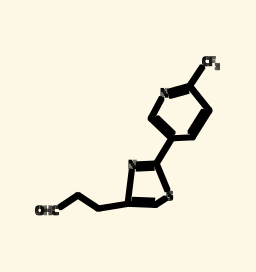 O=CCCc1csc(-c2ccc(C(F)(F)F)nc2)n1